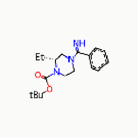 CC[C@@H]1CN(C(=N)c2ccccc2)CCN1C(=O)OC(C)(C)C